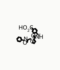 C[C@H](NC(=O)c1cccn1Cc1coc(-c2ccccc2)n1)c1ccc(C(=O)O)cc1